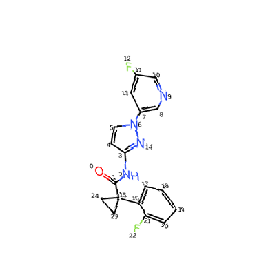 O=C(Nc1ccn(-c2cncc(F)c2)n1)C1(c2ccccc2F)CC1